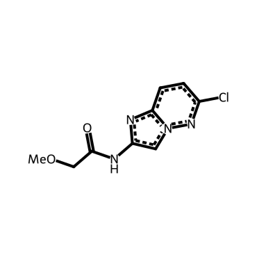 COCC(=O)Nc1cn2nc(Cl)ccc2n1